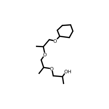 CC(O)COC(C)COC(C)COC1CCCCC1